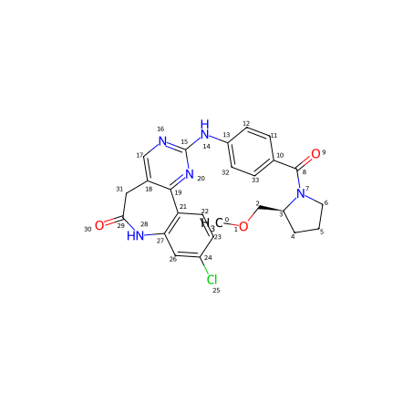 COC[C@@H]1CCCN1C(=O)c1ccc(Nc2ncc3c(n2)-c2ccc(Cl)cc2NC(=O)C3)cc1